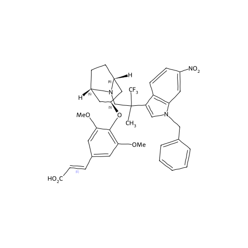 COc1cc(/C=C/C(=O)O)cc(OC)c1O[C@@H]1C[C@H]2CC[C@@H](C1)N2CC(C)(c1cn(Cc2ccccc2)c2cc([N+](=O)[O-])ccc12)C(F)(F)F